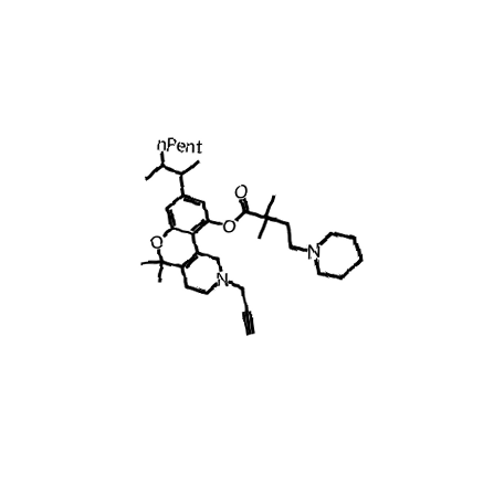 C#CCN1CCC2=C(C1)c1c(OC(=O)C(C)(C)CCN3CCCCC3)cc(C(C)C(C)CCCCC)cc1OC2(C)C